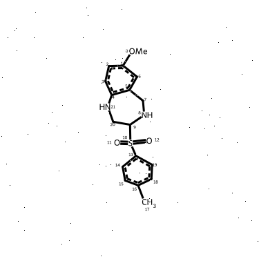 COc1ccc2c(c1)CNC(S(=O)(=O)c1ccc(C)cc1)CN2